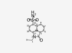 CCN1C(=O)c2cccc3c(S(N)(=O)=O)ccc1c23